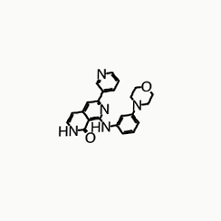 O=c1[nH]ccc2cc(-c3cccnc3)nc(Nc3cccc(N4CCOCC4)c3)c12